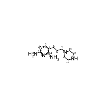 Nc1ncc(CCCN2CCNCC2)c(N)n1